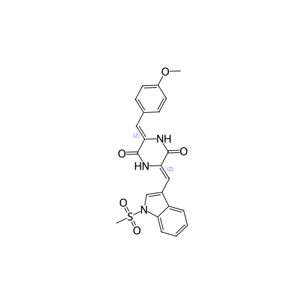 COc1ccc(/C=c2\[nH]c(=O)/c(=C/c3cn(S(C)(=O)=O)c4ccccc34)[nH]c2=O)cc1